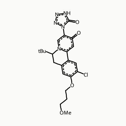 COCCCOc1cc2c(cc1Cl)-c1cc(=O)c(-n3nn[nH]c3=O)cn1C(C(C)(C)C)C2